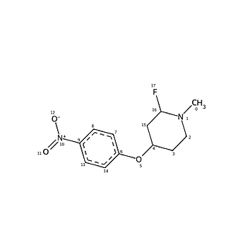 CN1CCC(Oc2ccc([N+](=O)[O-])cc2)CC1F